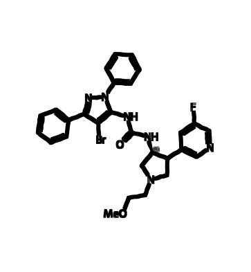 COCCN1CC(c2cncc(F)c2)[C@H](NC(=O)Nc2c(Br)c(-c3ccccc3)nn2-c2ccccc2)C1